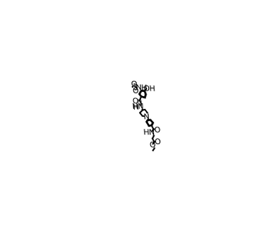 CCOC(=O)CCNC(=O)c1ccc(N2CCC(NC[C@H](O)c3ccc(O)c(NS(C)(=O)=O)c3)CC2)cc1